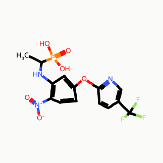 CC(Nc1cc(Oc2ccc(C(F)(F)F)cn2)ccc1[N+](=O)[O-])P(=O)(O)O